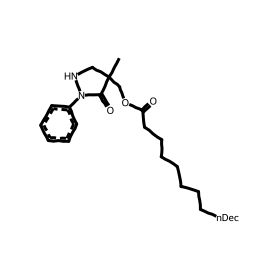 CCCCCCCCCCCCCCCCCC(=O)OCC1(C)CNN(c2ccccc2)C1=O